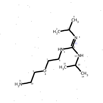 CC(C)/N=C(\NCCOCCN)NC(C)C